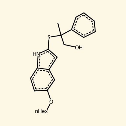 CCCCCCOc1ccc2[nH]c(SC(C)(CO)c3ccccc3)cc2c1